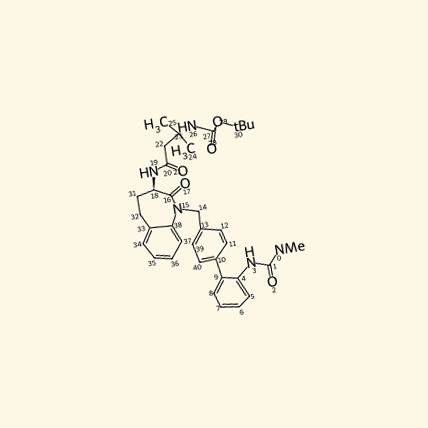 CNC(=O)Nc1ccccc1-c1ccc(CN2C(=O)[C@H](NC(=O)CC(C)(C)NC(=O)OC(C)(C)C)CCc3ccccc32)cc1